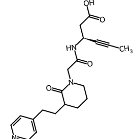 CC#C[C@H](CC(=O)O)NC(=O)CN1CCCC(CCc2ccncc2)C1=O